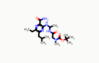 CCc1nc(C(N)=O)c(NC(C)NC(=O)CN(C)C(=O)OC(C)(C)C)nc1CC(C)C